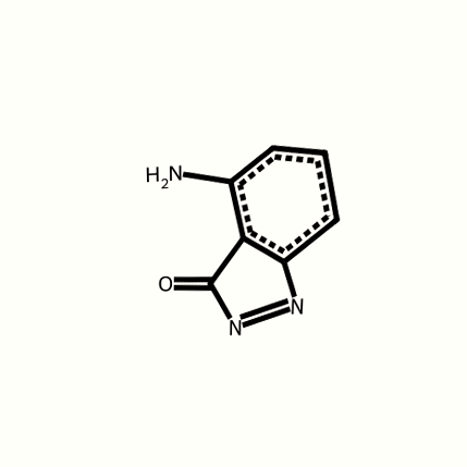 Nc1cccc2c1C(=O)N=N2